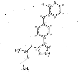 CN(CCN)Cc1c[nH]nc1-c1ccc(Oc2ccccc2F)cc1